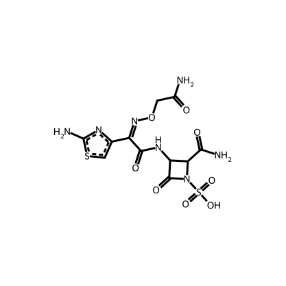 NC(=O)CON=C(C(=O)NC1C(=O)N(S(=O)(=O)O)C1C(N)=O)c1csc(N)n1